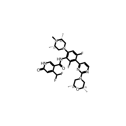 C[C@@H]1CN(c2nccc(-c3c(F)cc(N4C[C@@H](C)N(C)[C@@H](C)C4)c(NC(=O)c4c[nH]c(=O)cc4C(F)F)c3F)n2)C[C@H](C)O1